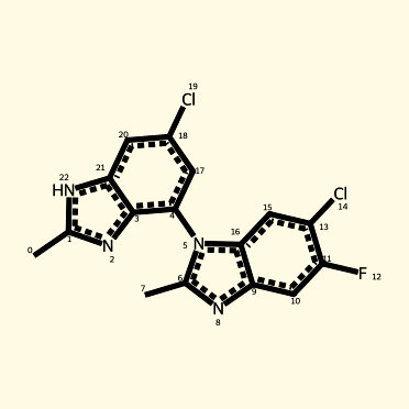 Cc1nc2c(-n3c(C)nc4cc(F)c(Cl)cc43)cc(Cl)cc2[nH]1